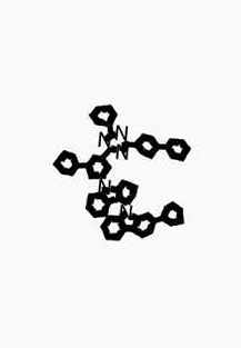 c1ccc(-c2ccc(-c3nc(-c4ccccc4)nc(-c4cc(-c5ccccc5)cc(-n5c6ccccc6c6c(-n7c8ccccc8c8ccc(-c9ccccc9)cc87)cccc65)c4)n3)cc2)cc1